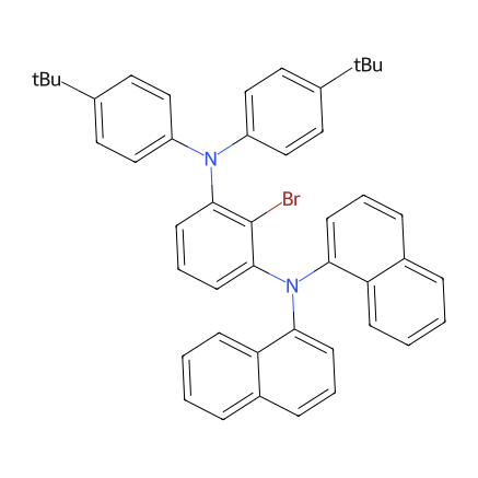 CC(C)(C)c1ccc(N(c2ccc(C(C)(C)C)cc2)c2cccc(N(c3cccc4ccccc34)c3cccc4ccccc34)c2Br)cc1